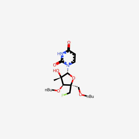 CCCCOC[C@@]1(CF)O[C@@H](n2ccc(=O)[nH]c2=O)[C@@](C)(O)[C@@H]1OCCCC